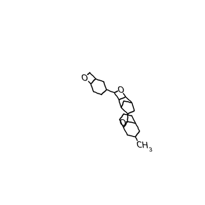 CC1CC2CCCC3(C1)OC23C1CC2CC1C1C(C3CCC4OCC4C3)OC21